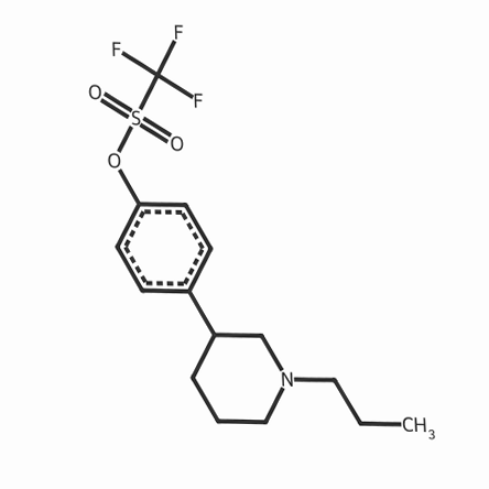 CCCN1CCCC(c2ccc(OS(=O)(=O)C(F)(F)F)cc2)C1